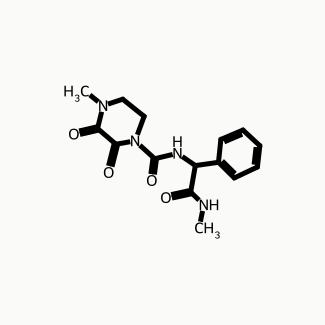 CNC(=O)C(NC(=O)N1CCN(C)C(=O)C1=O)c1ccccc1